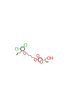 C=CCc1c(Cl)cc(Cl)cc1OCCCCCOc1coc(C(C=C)CO)cc1=O